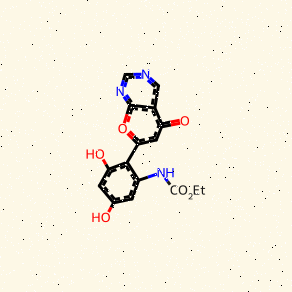 CCOC(=O)Nc1cc(O)cc(O)c1-c1cc(=O)c2cncnc2o1